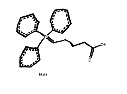 O=C(O)CCCC=P(c1ccccc1)(c1ccccc1)c1ccccc1.[NaH]